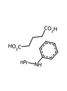 CCCNc1ccccc1.O=C(O)CCCC(=O)O